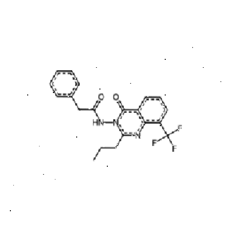 CCCc1nc2c(C(F)(F)F)cccc2c(=O)n1NC(=O)Cc1ccccc1